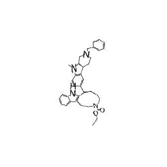 CCOC(=O)N1CCCCC(c2ccc3c(c2)C2CCN(Cc4ccccc4)CC2N3C)c2[nH]c3ccccc3c2CC1